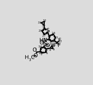 COC(=O)c1ccc(C2CC2)c(S(=O)(=O)Nc2cc(C(F)(F)F)ccc2-c2ccc(C3CC3)s2)c1